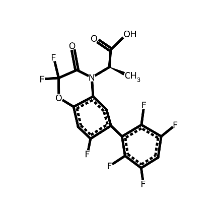 C[C@H](C(=O)O)N1C(=O)C(F)(F)Oc2cc(F)c(-c3c(F)c(F)cc(F)c3F)cc21